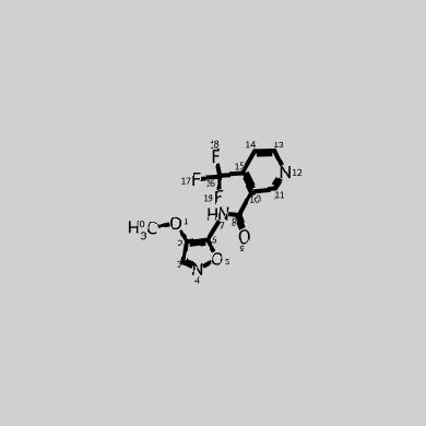 COc1cnoc1NC(=O)c1cnccc1C(F)(F)F